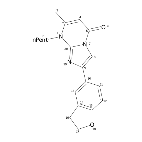 CCCCCn1c(C)cc(=O)n2cc(-c3ccc4c(c3)CCO4)nc12